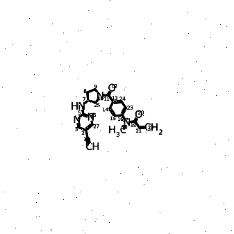 C#Cc1cnc(NC2CCN(C(=O)c3ccc(N(C)C(=O)C=C)cc3)C2)nc1